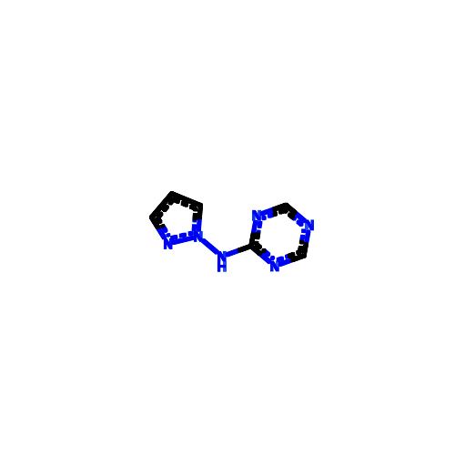 c1cnn(Nc2ncncn2)c1